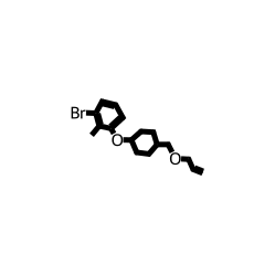 C=CCOCC1CCC(Oc2cccc(Br)c2C)CC1